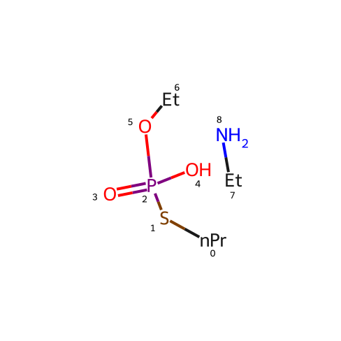 CCCSP(=O)(O)OCC.CCN